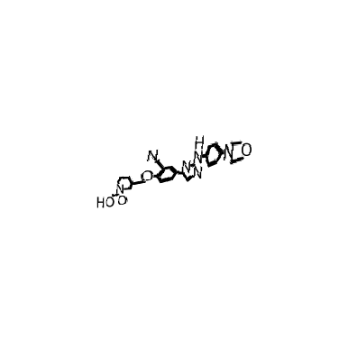 N#Cc1cc(-c2ccnc(Nc3ccc(N4CCOCC4)cc3)n2)ccc1OCC1CCCN(C(=O)CO)C1